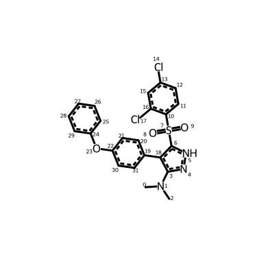 CN(C)c1n[nH]c(S(=O)(=O)c2ccc(Cl)cc2Cl)c1-c1ccc(Oc2ccccc2)cc1